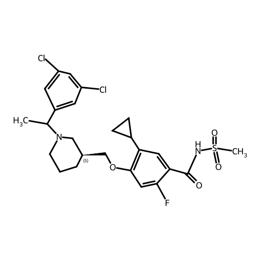 CC(c1cc(Cl)cc(Cl)c1)N1CCC[C@H](COc2cc(F)c(C(=O)NS(C)(=O)=O)cc2C2CC2)C1